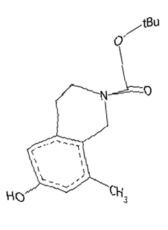 Cc1cc(O)cc2c1CN(C(=O)OC(C)(C)C)CC2